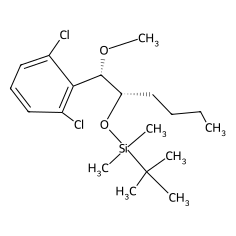 CCCC[C@H](O[Si](C)(C)C(C)(C)C)[C@@H](OC)c1c(Cl)cccc1Cl